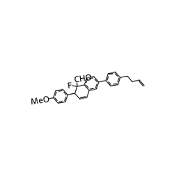 C=CCCc1ccc(-c2ccc3c(c2)C=CC(c2ccc(OC)cc2)C3(F)C=O)cc1